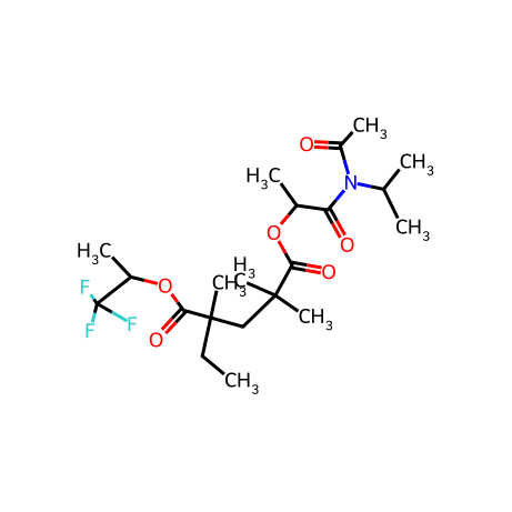 CCC(C)(CC(C)(C)C(=O)OC(C)C(=O)N(C(C)=O)C(C)C)C(=O)OC(C)C(F)(F)F